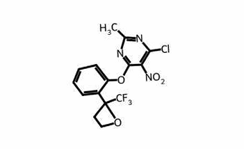 Cc1nc(Cl)c([N+](=O)[O-])c(Oc2ccccc2C2(C(F)(F)F)CCO2)n1